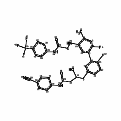 Cc1cc(F)c(-c2cc(CC(O)CC(=O)Nc3ccc(C#N)cc3)ccc2F)cc1NCC(=O)Nc1ccc(C(F)(F)F)cc1